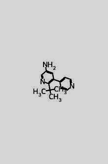 CC(C)(C)c1ncc(N)cc1-c1ccncc1